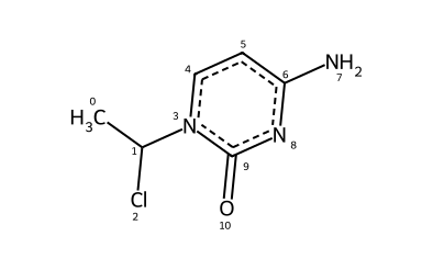 CC(Cl)n1ccc(N)nc1=O